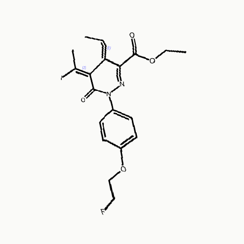 C/C=c1/c(C(=O)OCC)nn(-c2ccc(OCCF)cc2)c(=O)/c1=C(/C)I